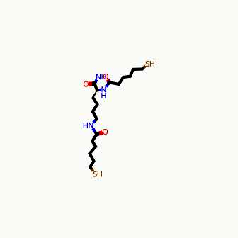 NC(=O)[C@H](CCCCNC(=O)CCCCCS)NC(=O)CCCCCS